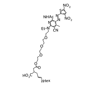 CCCCCC/C=C/CC(CC(=O)OCCOCCOCCOCCN(CC)c1nc(NC(C)=O)c(/N=N/c2sc([N+](=O)[O-])cc2[N+](=O)[O-])c(C)c1C#N)C(=O)O